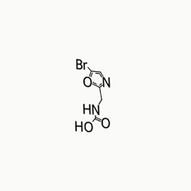 O=C(O)NCc1ncc(Br)o1